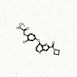 CNC(=O)Cc1ccc(Oc2ccnc3cc(C(=O)N4CCC4)sc23)cc1Cl